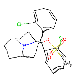 CS(=O)(=O)OC1CC2CCC(C1)N2C(c1ccccc1Cl)c1ccccc1Cl